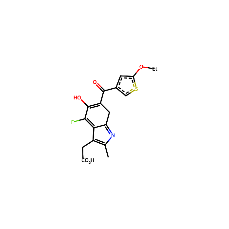 CCOc1cc(C(=O)C2=C(O)C(F)=C3C(=NC(C)=C3CC(=O)O)C2)cs1